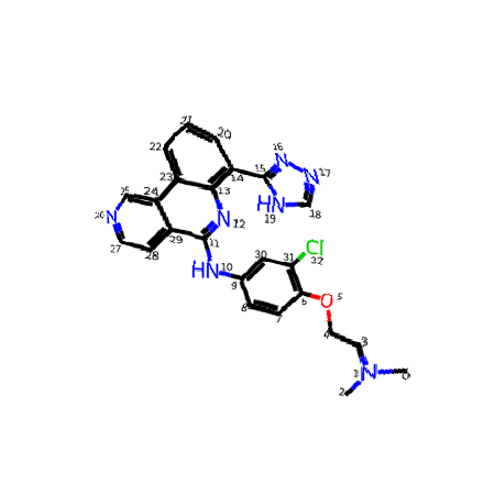 CN(C)CCOc1ccc(Nc2nc3c(-c4nnc[nH]4)cccc3c3cnccc23)cc1Cl